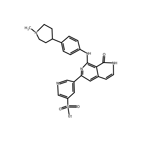 CCS(=O)(=O)c1cncc(-c2cc3cc[nH]c(=O)c3c(Nc3ccc(C4CCN(C)CC4)cc3)n2)c1